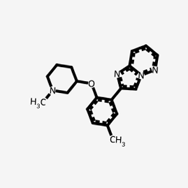 Cc1ccc(OC2CCCN(C)C2)c(-c2cn3ncccc3n2)c1